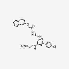 CC(=O)NCCNc1cc(NCCNC(=O)COc2ccc3ccccc3c2)nc(-c2ccc(Cl)cc2)n1